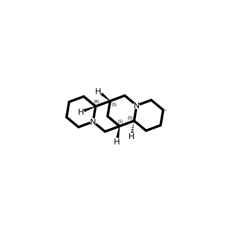 [CH]1CC[C@H]2[C@H]3C[C@@H](CN2C1)[C@H]1CCCCN1C3